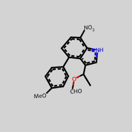 COc1ccc(-c2ccc([N+](=O)[O-])c3[nH]cc(C(C)OC=O)c23)cc1